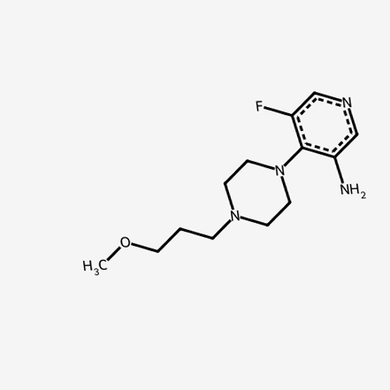 COCCCN1CCN(c2c(N)cncc2F)CC1